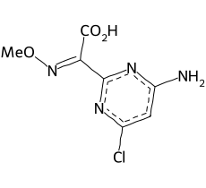 CON=C(C(=O)O)c1nc(N)cc(Cl)n1